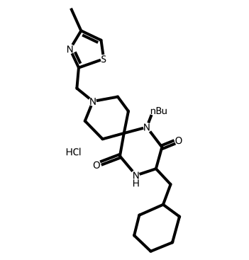 CCCCN1C(=O)C(CC2CCCCC2)NC(=O)C12CCN(Cc1nc(C)cs1)CC2.Cl